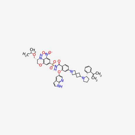 C=C(C)c1ccccc1[C@@H]1CCCN1C1CC2(C1)CN(c1ccc(C(=O)NS(=O)(=O)c3cc4c(c([N+](=O)[O-])c3)N[C@@H](COC(C)C)CO4)c(Oc3cnc4[nH]ccc4c3)c1)C2